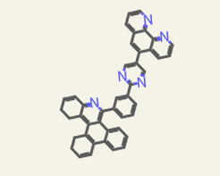 C1=Cc2nc(-c3cccc(-c4ncc(-c5cc6cccnc6c6ncccc56)cn4)c3)c3c(c2CC1)c1c(c2ccccc23)C=CCC1